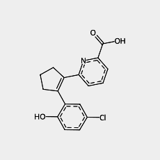 O=C(O)c1cccc(C2=C(c3cc(Cl)ccc3O)CCC2)n1